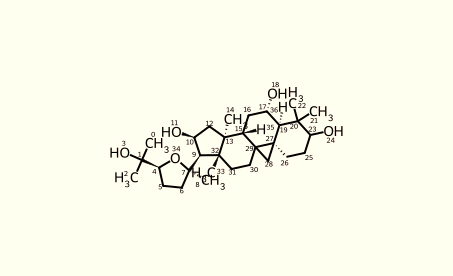 CC(C)(O)[C@@H]1CC[C@](C)([C@H]2[C@@H](O)C[C@@]3(C)[C@@H]4C[C@H](O)[C@H]5C(C)(C)C(O)CC[C@@]56CC46CC[C@]23C)O1